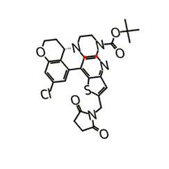 CC(C)(C)OC(=O)N1CCN([C@H]2CCOc3cc(Cl)cc(-c4ccnc5cc(CN6C(=O)CCC6=O)sc45)c32)CC1